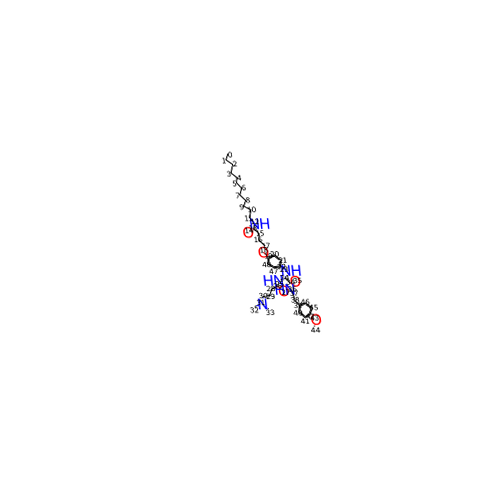 CCCCCCCCCCCCNC(=O)CCCOc1ccc(NC(NC(=O)CCCN(C)C)C(=O)NCCc2ccc(OC)cc2)cc1